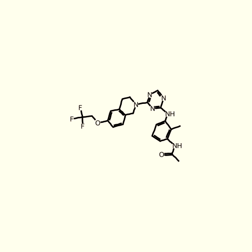 CC(=O)Nc1cccc(Nc2ncnc(N3CCc4cc(OCC(F)(F)F)ccc4C3)n2)c1C